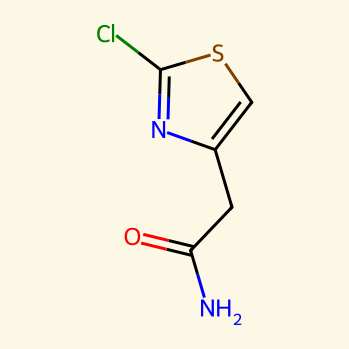 NC(=O)Cc1csc(Cl)n1